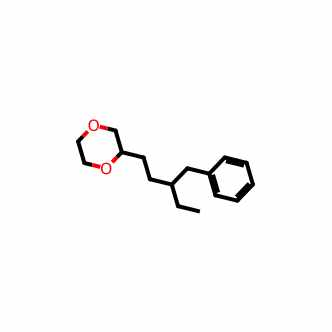 CCC(CCC1COCCO1)Cc1ccccc1